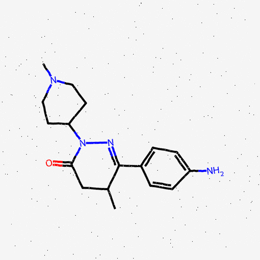 CC1CC(=O)N(C2CCN(C)CC2)N=C1c1ccc(N)cc1